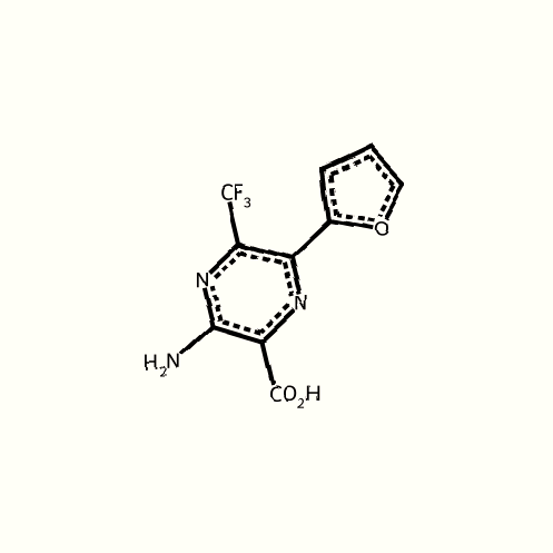 Nc1nc(C(F)(F)F)c(-c2ccco2)nc1C(=O)O